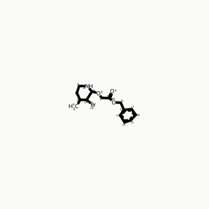 CC1CCNC(OCC(=O)OCc2ccccc2)C1Br